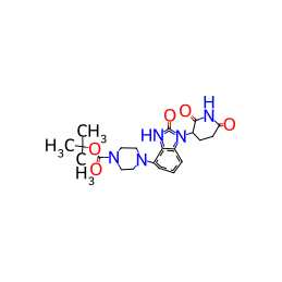 CC(C)(C)OC(=O)N1CCN(c2cccc3c2[nH]c(=O)n3C2CCC(=O)NC2=O)CC1